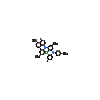 Cc1ccc(N(c2ccc(C(C)(C)C)cc2)c2cc(C(C)(C)C)cc(N(c3ccc(C)cc3)c3ccc(C(C)(C)C)cc3-c3ccc(C(C)(C)C)cc3)c2Cl)cc1